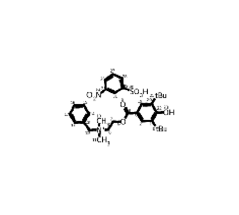 CC(C)(C)c1cc(C(=O)OCC[N+](C)(C)Cc2ccccc2)cc(C(C)(C)C)c1O.O=[N+]([O-])c1cccc(S(=O)(=O)O)c1